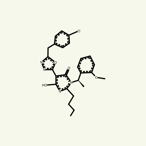 CCCCc1nc(O)c(-c2nnc(Cc3ccc(Cl)cc3)o2)c(=O)n1[C@H](C)c1ccccc1OC